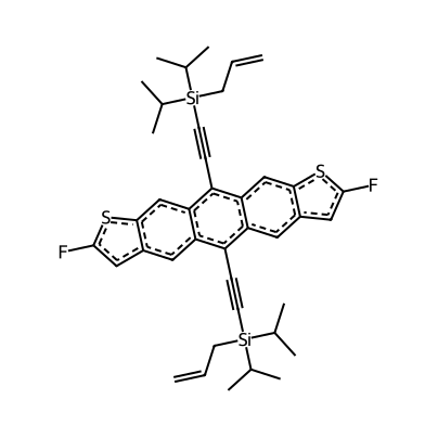 C=CC[Si](C#Cc1c2cc3cc(F)sc3cc2c(C#C[Si](CC=C)(C(C)C)C(C)C)c2cc3sc(F)cc3cc12)(C(C)C)C(C)C